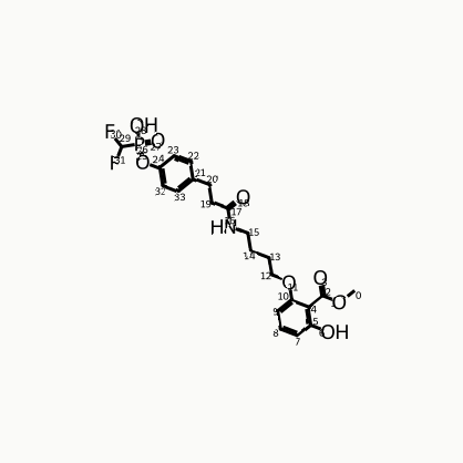 COC(=O)c1c(O)cccc1OCCCCNC(=O)CCc1ccc(OP(=O)(O)C(F)F)cc1